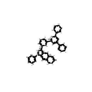 c1ccc(-c2cc(-c3ccccc3)nc(-c3cccc(-c4nn(-c5ccccc5)c5cc6ccccc6cc45)c3)c2)cc1